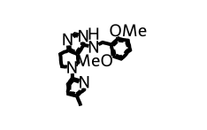 COc1cccc(OC)c1CNc1ncnc2c1CN(c1ccc(C)cn1)CC2